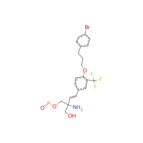 NC(/C=C/c1ccc(OCCCc2ccc(Br)cc2)c(C(F)(F)F)c1)(CO)COP=O